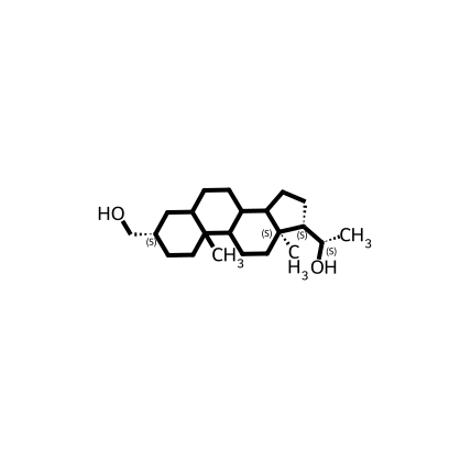 C[C@H](O)[C@H]1CCC2C3CCC4C[C@@H](CO)CCC4(C)C3CC[C@@]21C